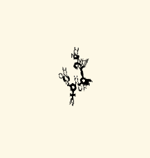 Cc1cc(F)c(C(=O)Nc2cc(CN3CCNC(=O)C3)cc(C(C)(C)C#N)c2)cc1C#Cc1cnc2c(Nc3cn[nH]c3)cccn12